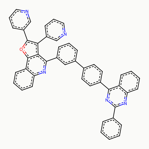 c1ccc(-c2nc(-c3ccc(-c4cccc(-c5nc6ccccc6c6oc(-c7cccnc7)c(-c7cccnc7)c56)c4)cc3)c3ccccc3n2)cc1